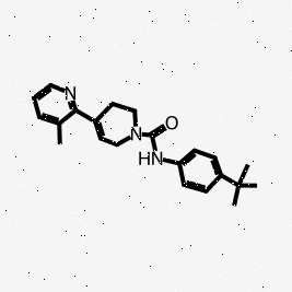 Cc1cccnc1C1=CCN(C(=O)Nc2ccc(C(C)(C)C)cc2)CC1